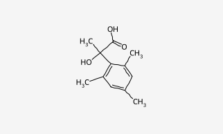 Cc1cc(C)c(C(C)(O)C(=O)O)c(C)c1